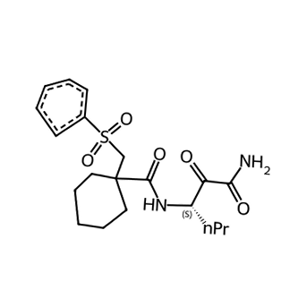 CCC[C@H](NC(=O)C1(CS(=O)(=O)c2ccccc2)CCCCC1)C(=O)C(N)=O